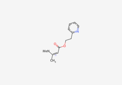 CN/C(C)=C\C(=O)OCCc1ccccn1